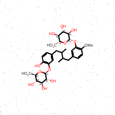 COc1ccc(CC(C)C(C)Cc2ccc(O)c(O[C@@H]3O[C@H](C(=O)O)[C@@H](O)[C@H](O)[C@H]3O)c2)cc1O[C@@H]1O[C@H](C(=O)O)[C@@H](O)[C@H](O)[C@H]1O